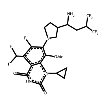 COc1c(N2CCC(C(N)CC(C(F)(F)F)C(F)(F)F)C2)c(F)c(C(F)F)c2c(=O)[nH]c(=O)n(C3CC3)c12